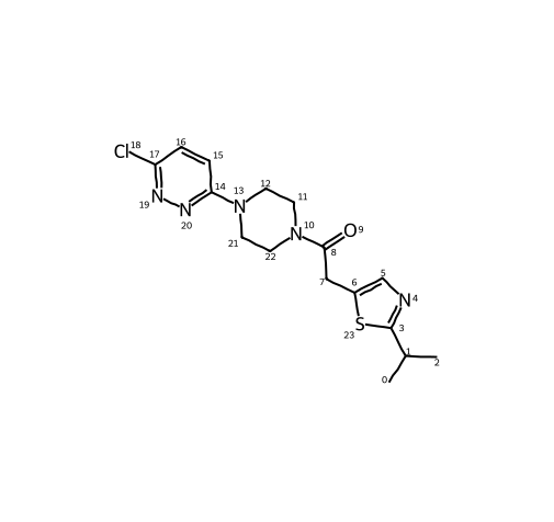 CC(C)c1ncc(CC(=O)N2CCN(c3ccc(Cl)nn3)CC2)s1